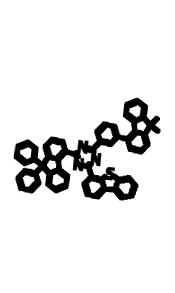 CC1(C)c2ccccc2-c2c(-c3cccc(-c4nc(-c5cccc6c5-c5ccccc5C6(c5ccccc5)c5ccccc5)nc(-c5cccc6c5sc5ccccc56)n4)c3)cccc21